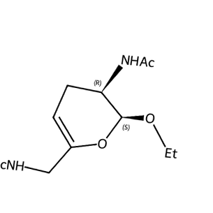 CCO[C@H]1OC(CNC(C)=O)=CC[C@H]1NC(C)=O